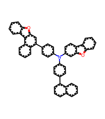 c1ccc2c(-c3ccc(N(c4ccc(-c5cc6oc7ccccc7c6c6ccccc56)cc4)c4ccc5c(c4)oc4ccccc45)cc3)cccc2c1